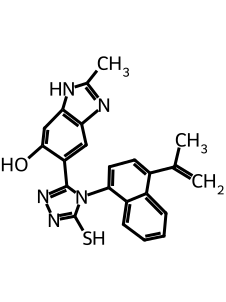 C=C(C)c1ccc(-n2c(S)nnc2-c2cc3nc(C)[nH]c3cc2O)c2ccccc12